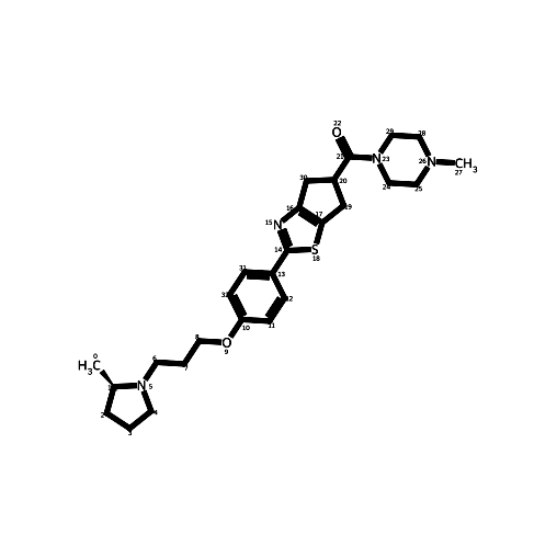 C[C@@H]1CCCN1CCCOc1ccc(-c2nc3c(s2)CC(C(=O)N2CCN(C)CC2)C3)cc1